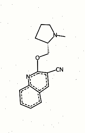 CN1CCC[C@H]1COc1nc2ccccc2cc1C#N